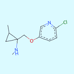 CNC1(COc2ccc(Cl)nc2)CC1C